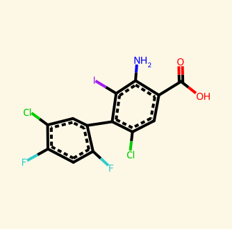 Nc1c(C(=O)O)cc(Cl)c(-c2cc(Cl)c(F)cc2F)c1I